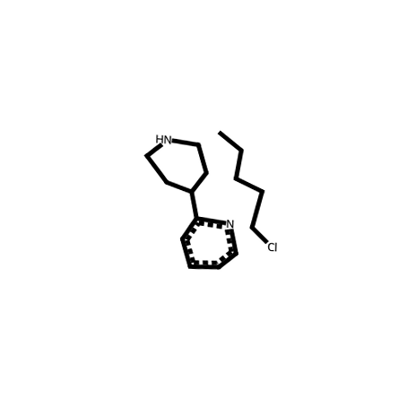 CCCCCCl.c1ccc(C2CCNCC2)nc1